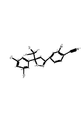 N#Cc1ccc(C2=NOC(c3cc(Cl)cc(Cl)c3)(C(F)(F)F)C2)cc1Br